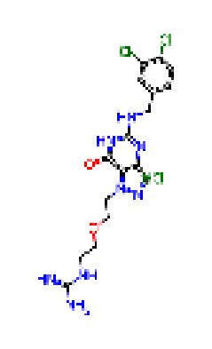 Cl.N=C(N)NCCOCCn1ncc2nc(NCc3ccc(Cl)c(Cl)c3)[nH]c(=O)c21